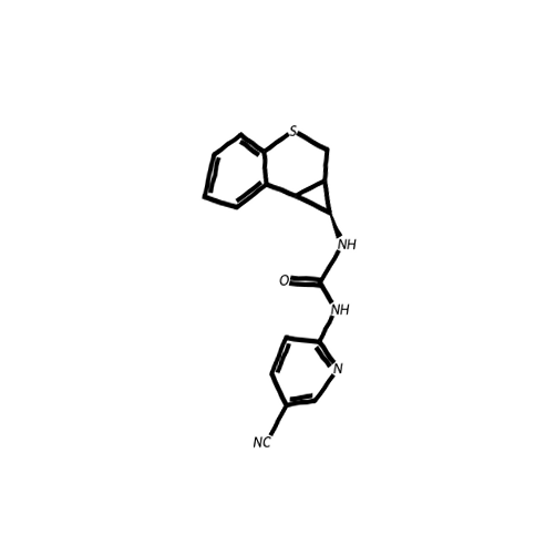 N#Cc1ccc(NC(=O)N[C@@H]2C3CSc4ccccc4C32)nc1